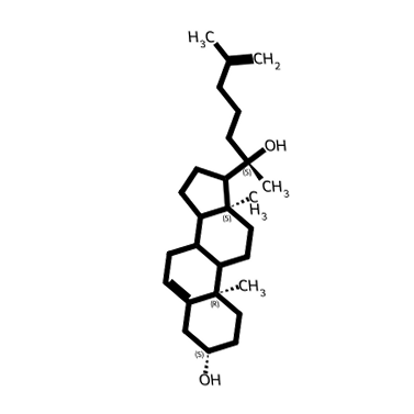 C=C(C)CCC[C@](C)(O)C1CCC2C3CC=C4C[C@@H](O)CC[C@]4(C)C3CC[C@@]21C